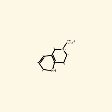 O=C(O)N1CCC2=C(C=CCN2)C1